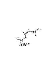 CNC(=O)C/C(C)=C\N(C)C(C)=O